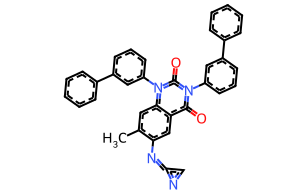 Cc1cc2c(cc1/N=c1\cn1)c(=O)n(-c1cccc(-c3ccccc3)c1)c(=O)n2-c1cccc(-c2ccccc2)c1